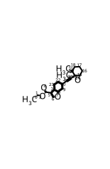 CCOC(=O)c1coc2cc(C#CC34OC3CCCC4(C)C)ccc12